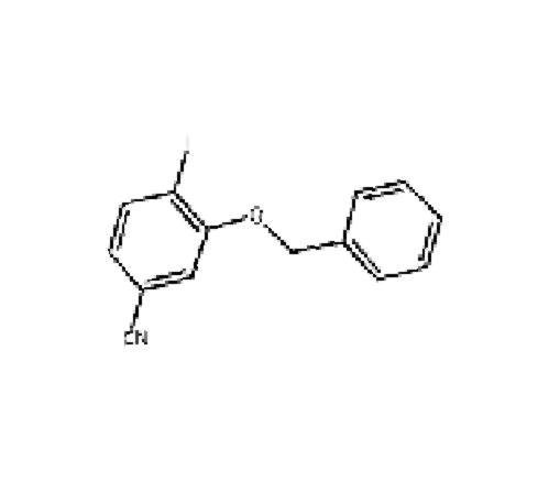 N#Cc1ccc(I)c(OCc2ccccc2)c1